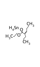 CCCC=C(CCC)C(=O)OCCC.[SnH4]